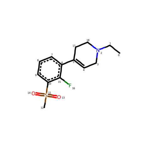 CCN1CC=C(c2cccc(S(C)(=O)=O)c2F)CC1